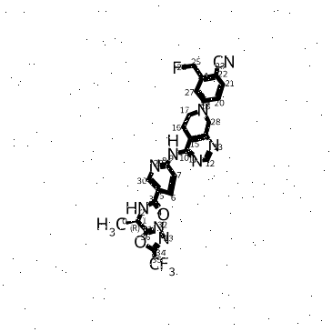 C[C@@H](NC(=O)c1ccc(Nc2ncnc3c2CCN(c2ccc(C#N)c(CF)c2)C3)nc1)c1nnc(C(F)(F)F)o1